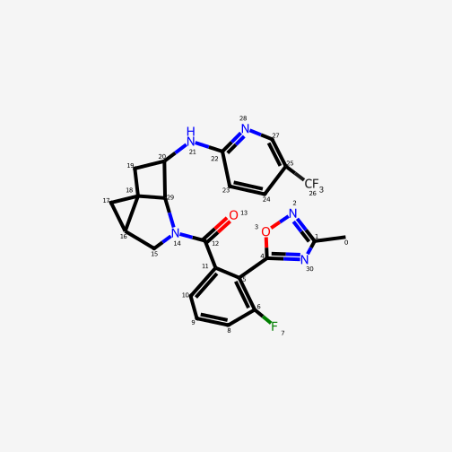 Cc1noc(-c2c(F)cccc2C(=O)N2CC3CC34CC(Nc3ccc(C(F)(F)F)cn3)C24)n1